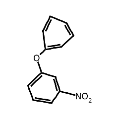 O=[N+]([O-])c1cccc(Oc2ccccc2)c1